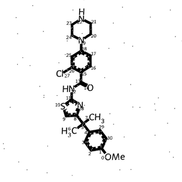 COc1ccc(C(C)(C)c2csc(NC(=O)c3ccc(N4CCNCC4)cc3Cl)n2)cc1